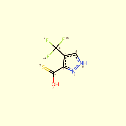 OC(=S)c1n[nH]cc1C(F)(F)F